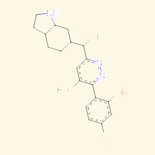 Cc1cc(C(O)C2CCC3CCNC3C2)nnc1-c1ccc(C(F)(F)F)cc1O